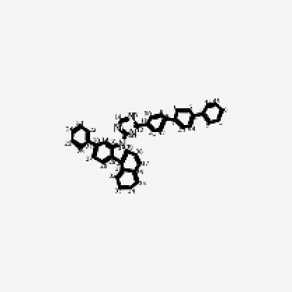 c1ccc(-c2ccc(-c3ccc(-c4ncnc(-n5c6cc(-c7ccccc7)ccc6c6c7ccccc7ccc65)n4)cc3)cc2)cc1